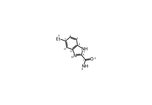 CCc1ccc2[nH]c(C([NH])=O)nc2c1